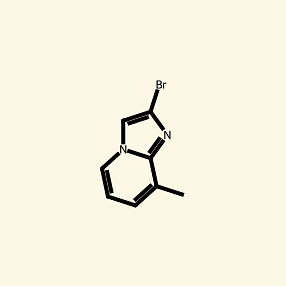 Cc1cccn2cc(Br)nc12